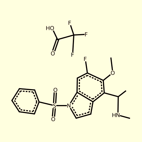 CNC(C)c1c(OC)c(F)cc2c1ccn2S(=O)(=O)c1ccccc1.O=C(O)C(F)(F)F